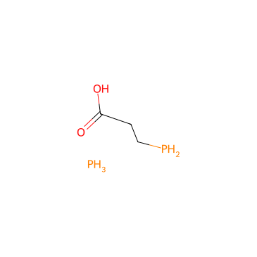 O=C(O)CCP.P